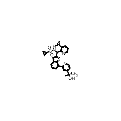 CN(C)c1cccnc1C(NS(=O)(=O)C1CC1)c1cc2cccc(-c3cc([C@@](C)(O)C(F)(F)F)ccn3)c2s1